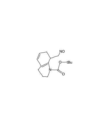 CC(C)(C)OC(=O)N1CCCC2=C1C(CN=O)CC=C2